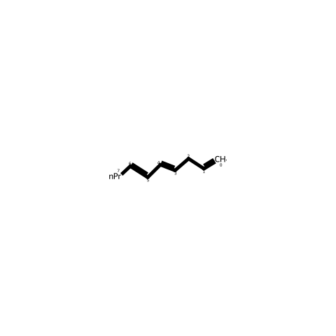 [CH]=CCC=CC=CCCC